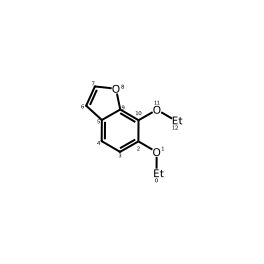 CCOc1ccc2ccoc2c1OCC